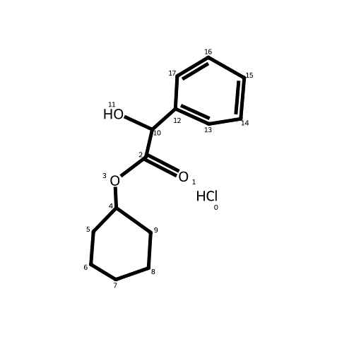 Cl.O=C(OC1CCCCC1)C(O)c1ccccc1